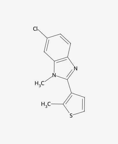 Cc1sccc1-c1nc2ccc(Cl)cc2n1C